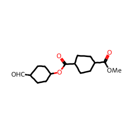 COC(=O)C1CCC(C(=O)OC2CCC(C=O)CC2)CC1